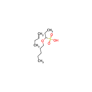 C=CCC.CCCCCOC(CC)S(=O)(=O)O